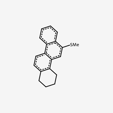 CSc1cc2c3c(ccc2c2ccccc12)CCCC3